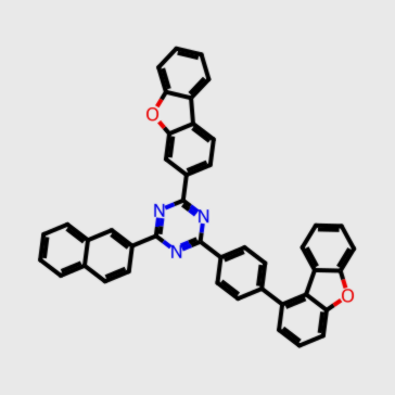 c1ccc2cc(-c3nc(-c4ccc(-c5cccc6oc7ccccc7c56)cc4)nc(-c4ccc5c(c4)oc4ccccc45)n3)ccc2c1